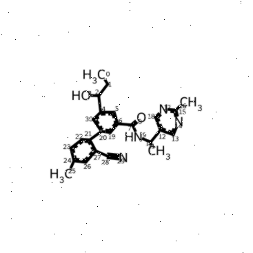 CCC(O)c1cc(C(=O)N[C@H](C)c2cnc(C)nc2)cc(-c2ccc(C)cc2C#N)c1